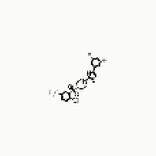 O=S(=O)(c1cc(C(F)(F)F)ccc1Cl)C1CCN(c2nc(-c3cc(F)cc(F)c3)cs2)CC1